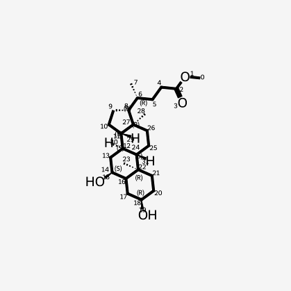 COC(=O)CC[C@@H](C)[C@H]1CC[C@H]2[C@@H]3C[C@H](O)C4C[C@H](O)CC[C@]4(C)[C@H]3CC[C@]12C